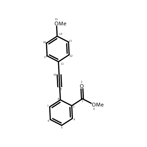 COC(=O)c1ccccc1C#Cc1ccc(OC)cc1